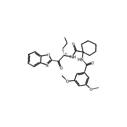 CCC[C@H](NC(=O)C1(NC(=O)c2cc(OC)cc(OC)c2)CCCCC1)C(=O)c1nc2ccccc2o1